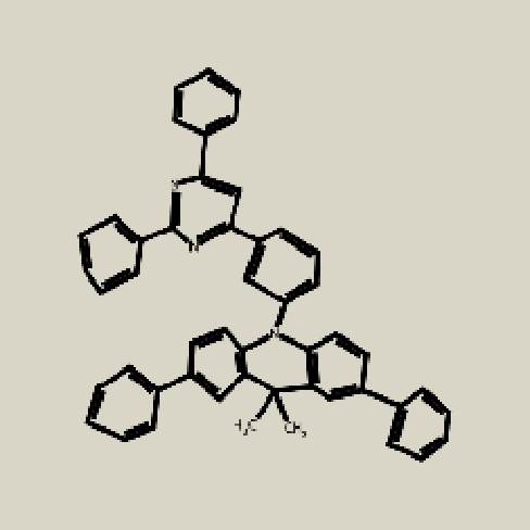 CC1(C)c2cc(-c3ccccc3)ccc2N(c2cccc(-c3cc(-c4ccccc4)nc(-c4ccccc4)n3)c2)c2ccc(-c3ccccc3)cc21